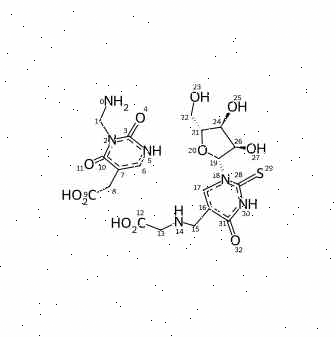 NCn1c(=O)[nH]cc(CC(=O)O)c1=O.O=C(O)CNCc1cn([C@@H]2O[C@H](CO)[C@@H](O)[C@H]2O)c(=S)[nH]c1=O